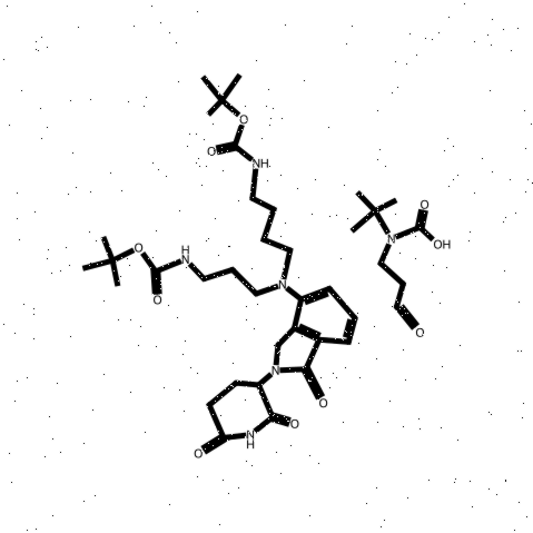 CC(C)(C)N(CCC=O)C(=O)O.CC(C)(C)OC(=O)NCCCCN(CCCNC(=O)OC(C)(C)C)c1cccc2c1CN(C1CCC(=O)NC1=O)C2=O